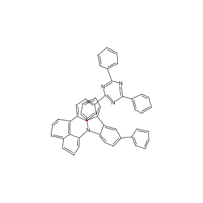 c1ccc(-c2ccc3c(c2)c2ccccc2n3-c2cccc3cccc(-c4ccc(-c5nc(-c6ccccc6)nc(-c6ccccc6)n5)cc4)c23)cc1